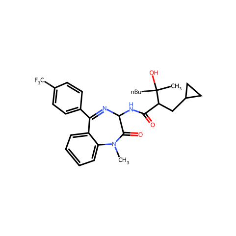 CCCCC(C)(O)C(CC1CC1)C(=O)NC1N=C(c2ccc(C(F)(F)F)cc2)c2ccccc2N(C)C1=O